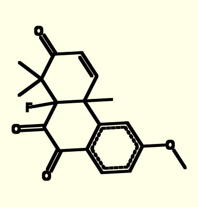 COc1ccc2c(c1)C1(C)C=CC(=O)C(C)(C)C1(F)C(=O)C2=O